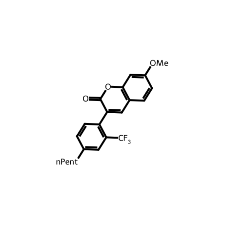 CCCCCc1ccc(-c2cc3ccc(OC)cc3oc2=O)c(C(F)(F)F)c1